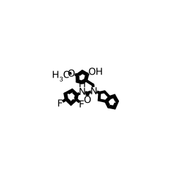 COc1ccc(CN(C(=O)Nc2ccc(F)cc2F)C2Cc3ccccc3C2)c(O)c1